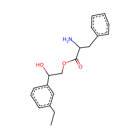 CCc1cccc(C(O)COC(=O)C(N)Cc2ccccc2)c1